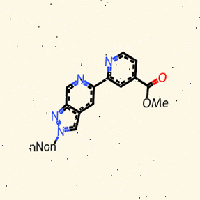 CCCCCCCCCn1cc2cc(-c3cc(C(=O)OC)ccn3)ncc2n1